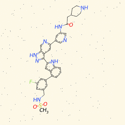 CS(=O)(=O)NCc1cc(F)cc(-c2cccc3[nH]c(-c4n[nH]c5cnc(-c6cncc(NC(=O)CC7CCNCC7)c6)cc45)cc23)c1